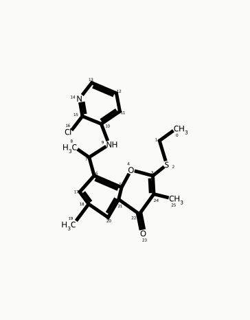 CCSc1oc2c(C(C)Nc3cccnc3Cl)cc(C)cc2c(=O)c1C